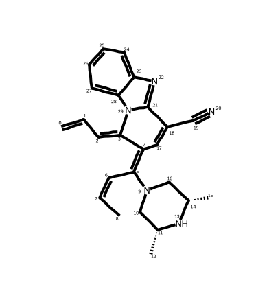 C=C/C=c1/c(=C(\C=C/C)N2C[C@@H](C)N[C@@H](C)C2)cc(C#N)c2nc3ccccc3n12